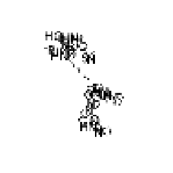 Cc1ncsc1-c1ccc([C@H](C)NC(=O)[C@@H]2C[C@@H](O)CN2C(=O)C(NC(=O)CCCCCCCCCCS(=O)(=O)NC(=O)c2nc(N3CCc4cccc(C(=O)Nc5nc6ccccc6s5)c4C3)ccc2-c2cnn(CC34CC5CC(CC(C5)C3)C4)c2C)C(C)(C)C)cc1